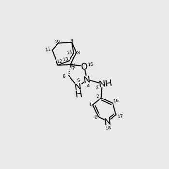 c1cc(NN2NC[C@]3(CC4CCC3CC4)O2)ccn1